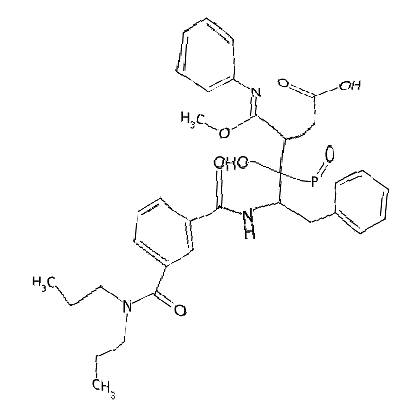 CCCN(CCC)C(=O)c1cccc(C(=O)NC(Cc2ccccc2)C(O)(P=O)C(CC(=O)O)C(=Nc2ccccc2)OC)c1